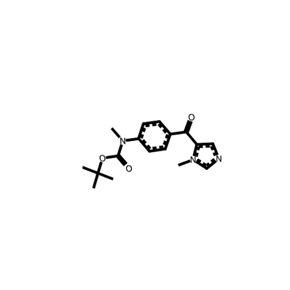 CN(C(=O)OC(C)(C)C)c1ccc(C(=O)c2cncn2C)cc1